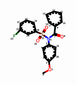 COc1ccc(N(C(=O)c2ccccc2)S(=O)(=O)c2cccc(F)c2)cc1